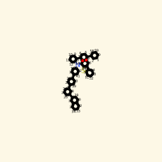 c1ccc(-c2ccc(-c3ccccc3N(c3ccc(-c4ccc(-c5cccc(-c6ccc7ccccc7c6)c5)cc4)cc3)c3cccc4c3sc3ccccc34)cc2)cc1